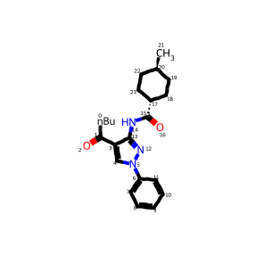 CCCCC(=O)c1cn(-c2ccccc2)nc1NC(=O)[C@H]1CC[C@H](C)CC1